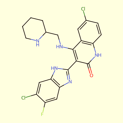 O=c1[nH]c2ccc(Cl)cc2c(NCC2CCCCN2)c1-c1nc2cc(F)c(Cl)cc2[nH]1